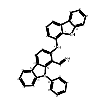 N=Cc1c(Nc2cccc3c2[nH]c2ccccc23)ccc2c3ccccc3n(-c3ccccc3)c12